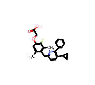 Cc1cc(OCC(=O)O)c(F)c(C)c1Cc1ccc(C2CC2)c(-c2ccccc2)n1